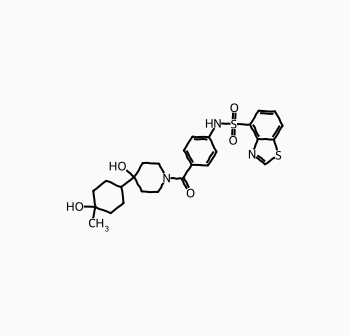 CC1(O)CCC(C2(O)CCN(C(=O)c3ccc(NS(=O)(=O)c4cccc5scnc45)cc3)CC2)CC1